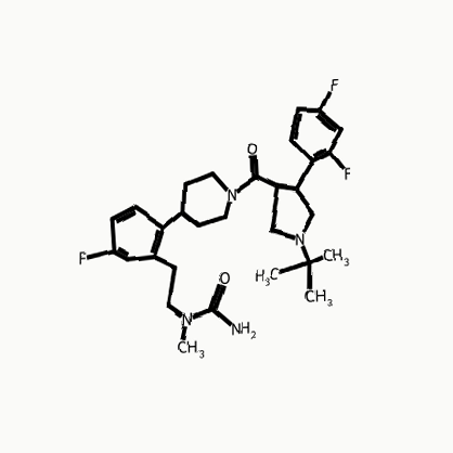 CN(CCc1cc(F)ccc1C1CCN(C(=O)C2CN(C(C)(C)C)CC2c2ccc(F)cc2F)CC1)C(N)=O